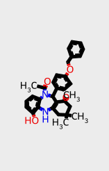 CC(=O)N1c2cccc(O)c2NC2=C(C(=O)CC(C)(C)C2)C1c1ccc(OCc2ccccc2)cc1C